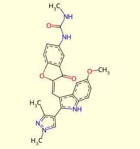 CNC(=O)Nc1ccc2c(c1)C(=O)C(=Cc1c(-c3cn(C)nc3C)[nH]c3ccc(OC)cc13)O2